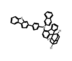 c1ccc2c(c1)-c1c(N(c3ccc(-c4ccc5c(c4)sc4ccccc45)cc3)c3ccc4ccccc4c3)cccc1C21[C@H]2CC3C[C@H](C2)C[C@H]1C3